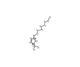 CCCCCCCCCN1C=CN(C(C)C)C1